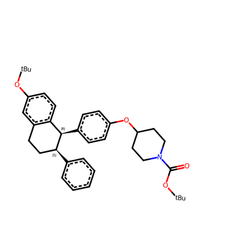 CC(C)(C)OC(=O)N1CCC(Oc2ccc([C@@H]3c4ccc(OC(C)(C)C)cc4CC[C@@H]3c3ccccc3)cc2)CC1